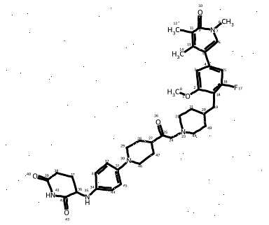 COc1cc(-c2cn(C)c(=O)c(C)c2C)cc(F)c1CC1CCN(CC(=O)C2CCN(c3ccc(NC4CCC(=O)NC4=O)cc3)CC2)CC1